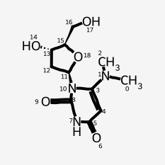 CN(C)c1cc(=O)[nH]c(=O)n1[C@H]1C[C@H](O)[C@@H](CO)O1